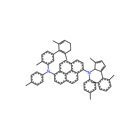 CC1=CCCC(C)=C1c1ccc(C)c(N(c2ccc(C)cc2)c2ccc3ccc4c(N(c5ccc(C)cc5)C5C(C)=CC=C5c5c(C)cccc5C)ccc5ccc2c3c54)c1